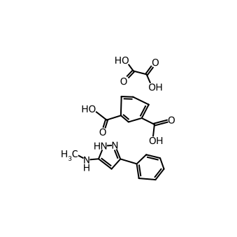 CNc1cc(-c2ccccc2)n[nH]1.O=C(O)C(=O)O.O=C(O)c1cccc(C(=O)O)c1